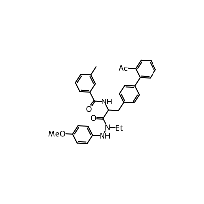 CCN(Nc1ccc(OC)cc1)C(=O)C(Cc1ccc(-c2ccccc2C(C)=O)cc1)NC(=O)c1cccc(C)c1